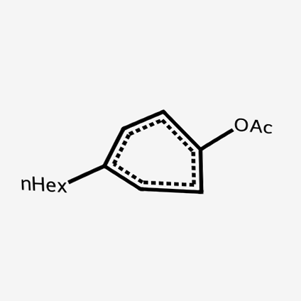 CCCCCCc1ccc(OC(C)=O)cc1